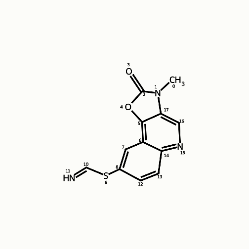 Cn1c(=O)oc2c3cc(SC=N)ccc3ncc21